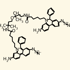 CC(C)(CCOC(C)(C)CCNC(=O)CCCCCN1c2cc(N)ccc2-c2ccc(N=[N+]=[N-])cc2C1c1ccccc1)NC(=O)CCCCC[n+]1c(-c2ccccc2)c2cc(N=[N+]=[N-])ccc2c2ccc(N)cc21